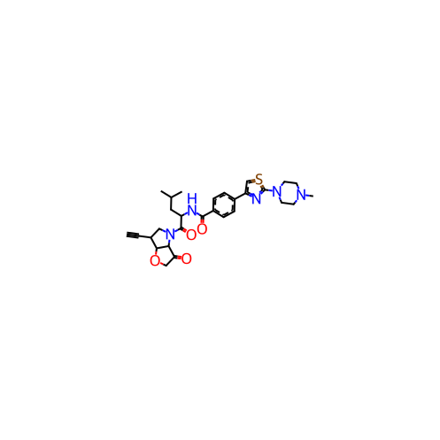 C#CC1CN(C(=O)C(CC(C)C)NC(=O)c2ccc(-c3csc(N4CCN(C)CC4)n3)cc2)C2C(=O)COC12